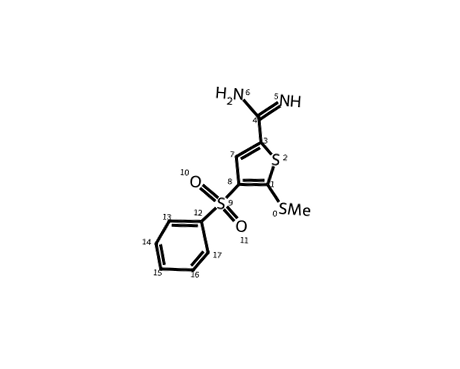 CSc1sc(C(=N)N)cc1S(=O)(=O)c1ccccc1